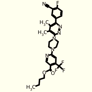 CCCCOC(=O)c1cnc(N2CCN(c3nnc(-c4ccc(F)c(C#N)c4)c(C)c3C)CC2)cc1C(F)(F)F